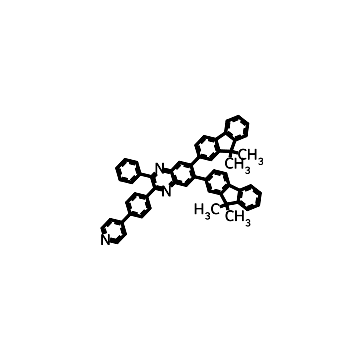 CC1(C)c2ccccc2-c2ccc(-c3cc4nc(-c5ccccc5)c(-c5ccc(-c6ccncc6)cc5)nc4cc3-c3ccc4c(c3)C(C)(C)c3ccccc3-4)cc21